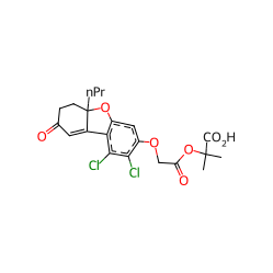 CCCC12CCC(=O)C=C1c1c(cc(OCC(=O)OC(C)(C)C(=O)O)c(Cl)c1Cl)O2